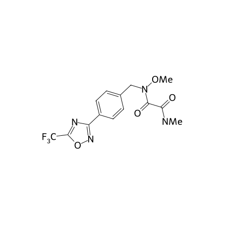 CNC(=O)C(=O)N(Cc1ccc(-c2noc(C(F)(F)F)n2)cc1)OC